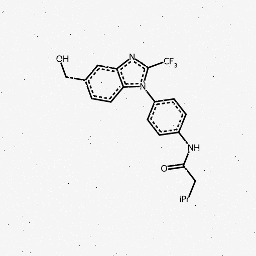 CC(C)CC(=O)Nc1ccc(-n2c(C(F)(F)F)nc3cc(CO)ccc32)cc1